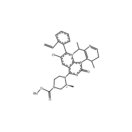 C=Cc1ccccc1-c1c(Cl)cc2c(N3CCN(C(=O)OC(C)(C)C)C[C@@H]3C)nc(=O)n3c2[n+]1C(C)C1=C3C(C)CC=N1